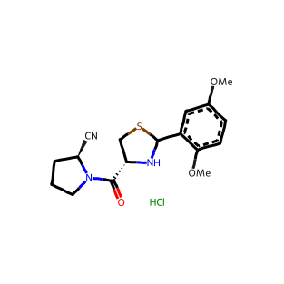 COc1ccc(OC)c(C2N[C@H](C(=O)N3CCC[C@H]3C#N)CS2)c1.Cl